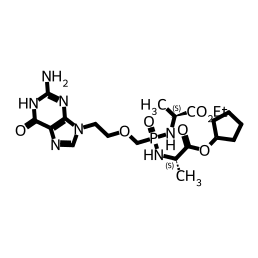 CCOC(=O)[C@H](C)NP(=O)(COCCn1cnc2c(=O)[nH]c(N)nc21)N[C@@H](C)C(=O)OC1CCCC1